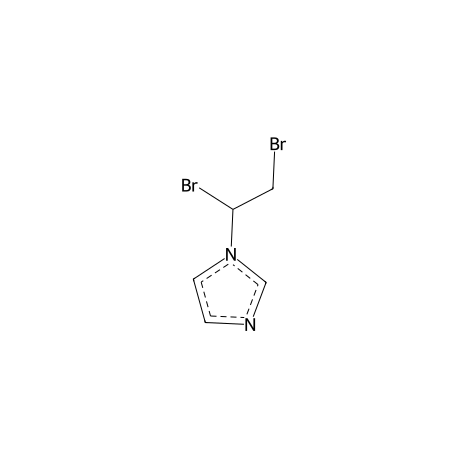 BrCC(Br)n1ccnc1